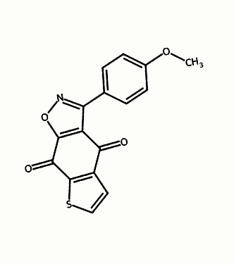 COc1ccc(-c2noc3c2C(=O)c2ccsc2C3=O)cc1